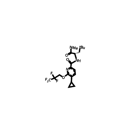 CNC(=O)[C@H](CC(C)(C)C)NC(=O)c1ccc(C2CC2)c(OCC(F)(F)C(F)(F)F)n1